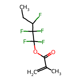 C=C(C)C(=O)OC(F)(F)C(F)(F)C(F)CC